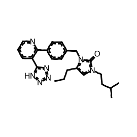 CCCc1cn(CCC(C)C)c(=O)n1Cc1ccc(-c2ncccc2-c2nnn[nH]2)cc1